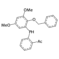 COc1cc(OC)c(OCc2ccccc2)c(Pc2ccccc2C(C)=O)c1